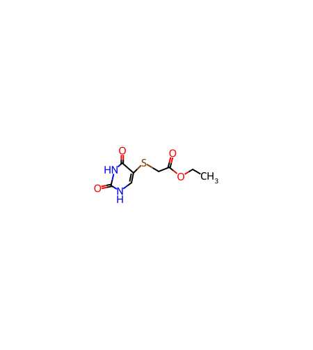 CCOC(=O)CSc1c[nH]c(=O)[nH]c1=O